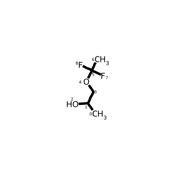 CC(O)COC(C)(F)F